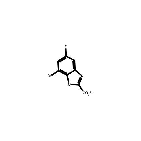 CCOC(=O)c1nc2cc(F)cc(Br)c2o1